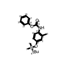 Cc1cc(O[Si](C)(C)C(C)(C)C)ccc1NC(=O)Oc1ccccc1